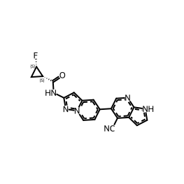 N#Cc1c(-c2ccn3nc(NC(=O)[C@@H]4C[C@@H]4F)cc3c2)cnc2[nH]ccc12